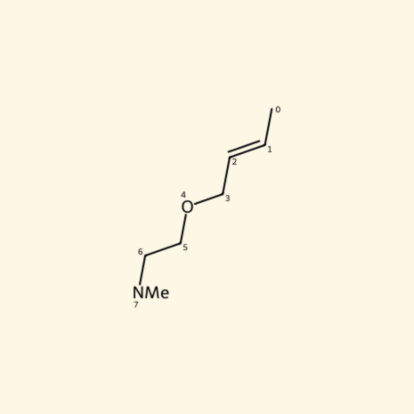 CC=CCOCCNC